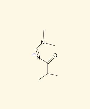 CC(C)C(=O)/N=C\N(C)C